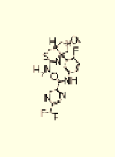 CO[C@@H]1C[C@H]2CSC(N)=N[C@@]2(c2cc(NC(=O)c3cnc(C(F)F)cn3)ccc2F)C1